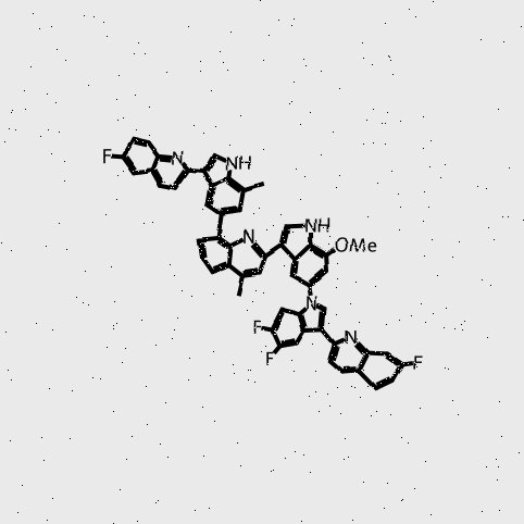 COc1cc(-n2cc(-c3ccc4ccc(F)cc4n3)c3cc(F)c(F)cc32)cc2c(-c3cc(C)c4cccc(-c5cc(C)c6[nH]cc(-c7ccc8cc(F)ccc8n7)c6c5)c4n3)c[nH]c12